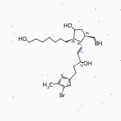 B=C[C@@H]1CC(O)[C@H](CCCCCCCO)[C@H]1/C=C/[C@@H](O)CCc1cc(Br)c(C)s1